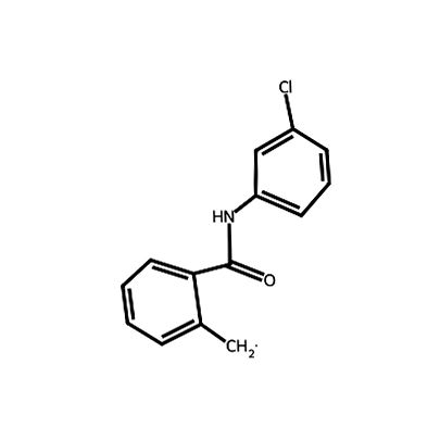 [CH2]c1ccccc1C(=O)Nc1cccc(Cl)c1